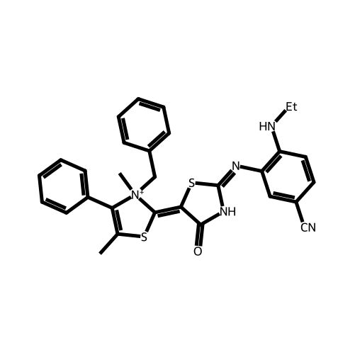 CCNc1ccc(C#N)cc1N=C1NC(=O)C(=C2SC(C)=C(c3ccccc3)[N+]2(C)Cc2ccccc2)S1